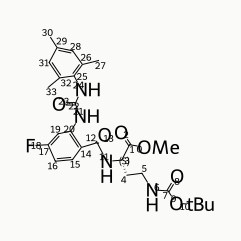 COC(=O)[C@H](CCNC(=O)OC(C)(C)C)NC(=O)c1ccc(F)cc1NC(=O)Nc1c(C)cc(C)cc1C